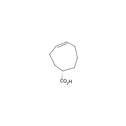 O=C(O)[C@@H]1CC/C=C\CCC1